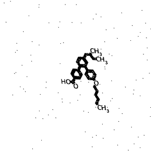 CCCCCCOc1ccc(-c2cc(CC(C)CC)ccc2-c2ccc(C(=O)O)cc2)cc1